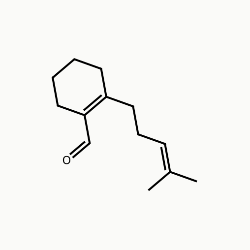 CC(C)=CCCC1=C(C=O)CCCC1